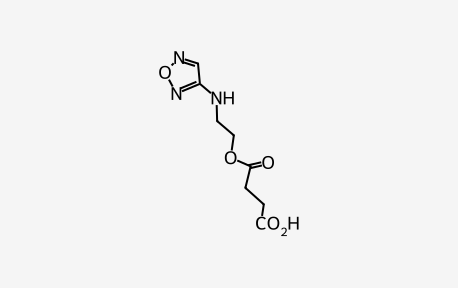 O=C(O)CCC(=O)OCCNc1cnon1